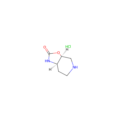 Cl.O=C1N[C@@H]2CCNC[C@@H]2O1